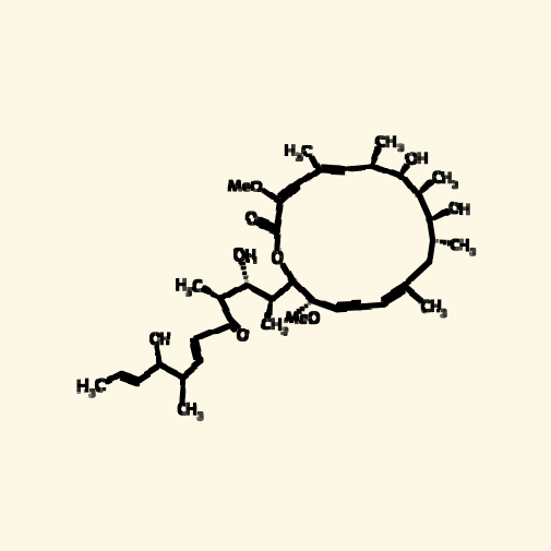 C/C=C/C(O)C(C)/C=C/C(=O)[C@@H](C)[C@H](O)[C@H](C)C1OC(=O)/C(OC)=C\C(C)=C/[C@@H](C)[C@@H](O)[C@@H](C)[C@@H](O)[C@H](C)C/C(C)=C\C=C/[C@@H]1OC